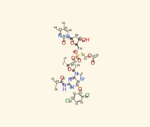 CC[C@H]1O[C@@H](n2cnc3c(Oc4cc(Cl)ccc4Cl)nc(NC(=O)C(C)C)nc32)C[C@H]1OP(=O)(OC[C@H]1O[C@@H](n2cc(C)c(C)nc2=O)C[C@H]1O)SCOC(C)=O